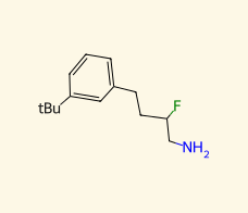 CC(C)(C)c1cccc(CCC(F)CN)c1